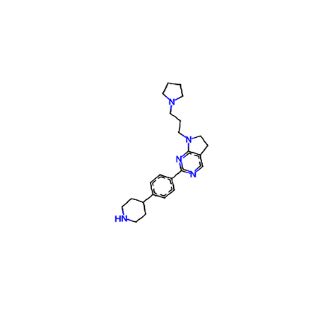 c1cc(C2CCNCC2)ccc1-c1ncc2c(n1)N(CCCN1CCCC1)CC2